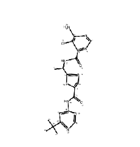 CC(NC(=O)c1ncnc(N)c1Cl)c1ncc(C(=O)Nc2cc(C(C)(C)C)ncn2)s1